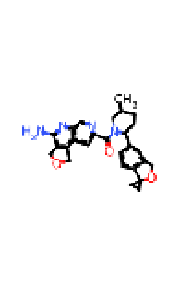 CC1CCC(c2ccc3c(c2)COC32CC2)N(C(=O)c2cc3c4c(c(N)nc3cn2)COC4)C1